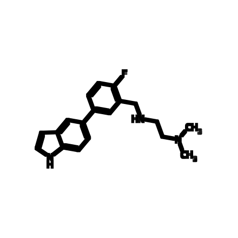 CN(C)CCNCc1cc(-c2ccc3[nH]ccc3c2)ccc1F